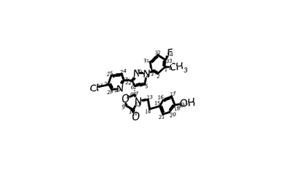 Cc1cc(-n2cc([C@H]3OCC(=O)N3CCc3ccc(O)cc3)c(-c3ccc(Cl)cn3)n2)ccc1F